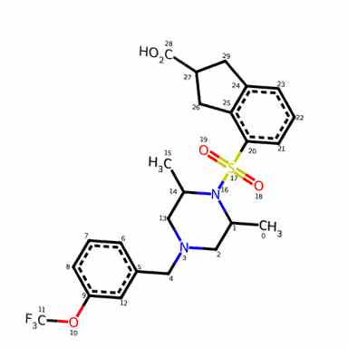 CC1CN(Cc2cccc(OC(F)(F)F)c2)CC(C)N1S(=O)(=O)c1cccc2c1CC(C(=O)O)C2